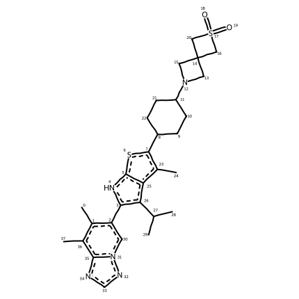 Cc1c(-c2[nH]c3sc(C4CCC(N5CC6(C5)CS(=O)(=O)C6)CC4)c(C)c3c2C(C)C)cn2ncnc2c1C